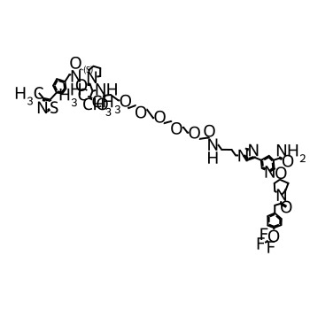 Cc1ncsc1-c1ccc(CNC(=O)[C@@H]2CCCN2C(=O)C(NC(=O)CCOCCOCCOCCOCCOCC(=O)NCCCCn2cnc(-c3cnc(OC4CCN(C(=O)Cc5ccc(OC(F)(F)F)cc5)CC4)c(C(N)=O)c3)c2)C(C)(C)C)cc1